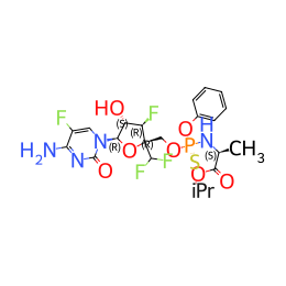 CC(C)OC(=O)[C@H](C)NP(=S)(OC[C@@]1(C(F)F)O[C@@H](n2cc(F)c(N)nc2=O)[C@H](O)[C@H]1F)Oc1ccccc1